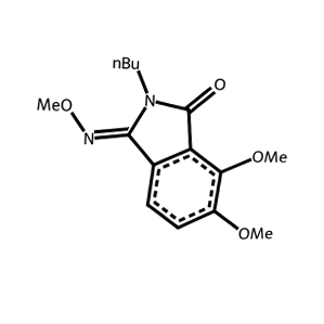 CCCCN1C(=O)c2c(ccc(OC)c2OC)C1=NOC